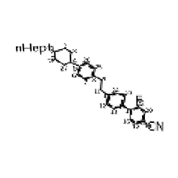 CCCCCCCC1CCC(c2ccc(CCc3ccc(-c4ccc(C#N)cc4F)cc3)cc2)CC1